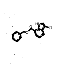 O=C(OCc1ccccc1)c1cccc2c(Cl)c[nH]c12